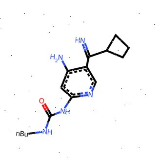 CCCCNC(=O)Nc1cc(N)c(C(=N)C2CCC2)cn1